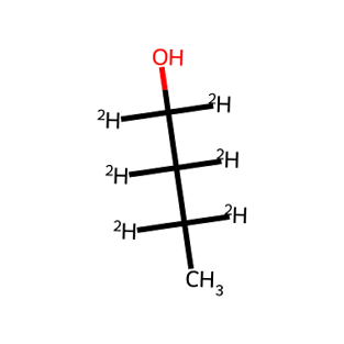 [2H]C([2H])(C)C([2H])([2H])C([2H])([2H])O